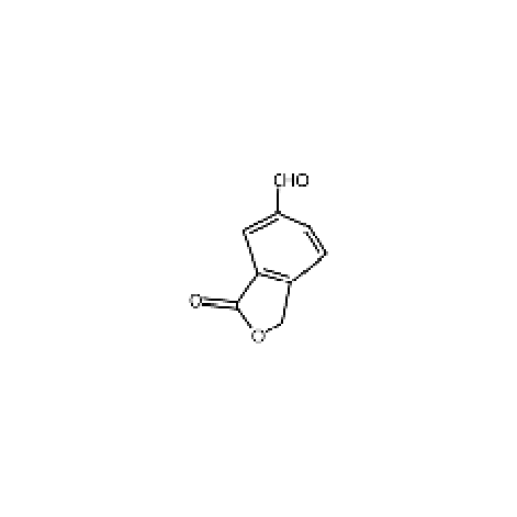 O=Cc1ccc2c(c1)C(=O)OC2